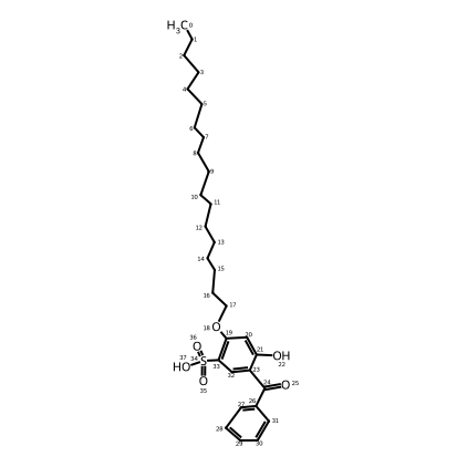 CCCCCCCCCCCCCCCCCCOc1cc(O)c(C(=O)c2ccccc2)cc1S(=O)(=O)O